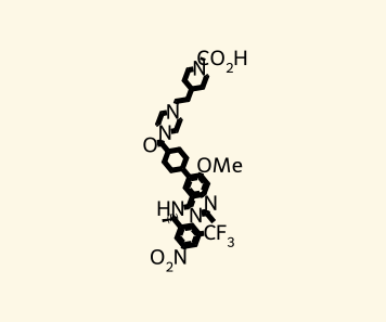 COc1cc2nc(C)nc(N[C@H](C)c3cc([N+](=O)[O-])cc(C(F)(F)F)c3)c2cc1C1CCC(C(=O)N2CCN(CCC3CCN(C(=O)O)CC3)CC2)CC1